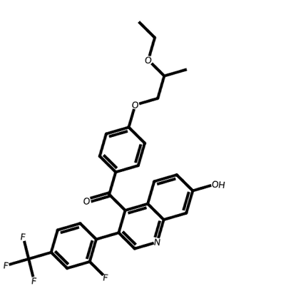 CCOC(C)COc1ccc(C(=O)c2c(-c3ccc(C(F)(F)F)cc3F)cnc3cc(O)ccc23)cc1